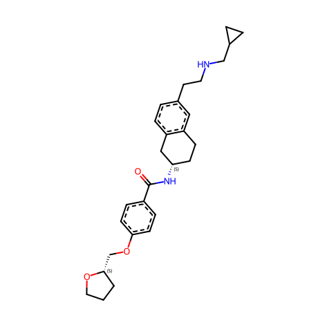 O=C(N[C@H]1CCc2cc(CCNCC3CC3)ccc2C1)c1ccc(OC[C@@H]2CCCO2)cc1